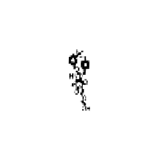 Cc1ccc(CN2c3c(n(C)c(=O)n(CCOCCO)c3=O)NC2OCc2cccc(C(F)(F)F)c2)cc1